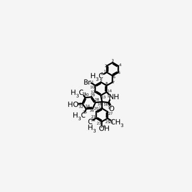 Cc1ccccc1Cc1cc(Br)cc2c1NC(=O)C2(c1cc(C)c(O)c(C)c1)c1cc(C)c(O)c(C)c1